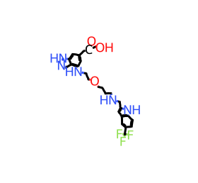 O=C(O)CCc1cc(NCCOCCCCNCc2cc3cc(C(F)(F)F)ccc3[nH]2)c2cn[nH]c2c1